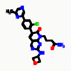 Cc1cncc(-c2ccc(-c3cc4cnc(NC5COC5)nc4n(CCCC(N)=O)c3=O)c(Cl)c2)n1